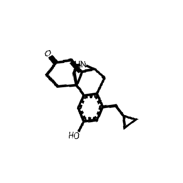 O=C1C=C2C3Cc4c(CC5CC5)cc(O)cc4C2(CCN3)CC1